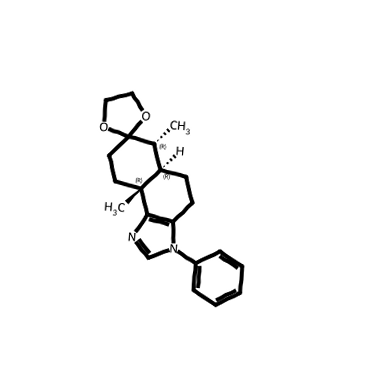 C[C@@H]1[C@H]2CCc3c(ncn3-c3ccccc3)[C@]2(C)CCC12OCCO2